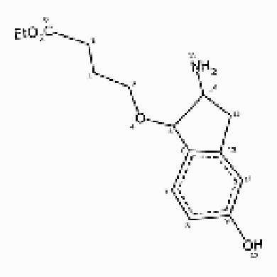 CCOC(=O)CCCOC1c2ccc(O)cc2CC1N